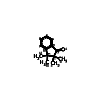 CC1(C)C(=O)c2ccccc2C1(C)C